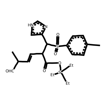 CC[Si](CC)(CC)OC(=O)C(C=CC(C)C=O)C(c1c[nH]cn1)S(=O)(=O)c1ccc(C)cc1